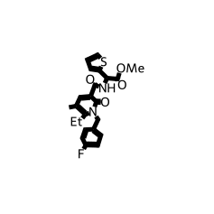 CCc1c(C)cc(C(=O)NC(C(=O)OC)c2cccs2)c(=O)n1Cc1ccc(F)cc1